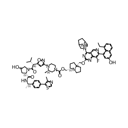 CCc1cccc2cc(O)cc(-c3ncc4c(N5CC6CCC(C5)N6)nc(OC[C@]56CCCN5[C@H](COC(=O)N5CCN(c7cc([C@H](C(=O)N8C[C@H](O)C[C@H]8C(=O)N[C@@H](C)c8ccc(-c9scnc9C)cc8)C(C)C)on7)[C@H](C)C5)CC6)nc4c3F)c12